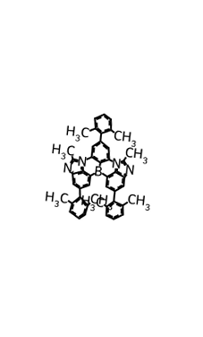 Cc1cccc(C)c1-c1cc2c3c(c1)-n1c(C)nc4cc(-c5c(C)cccc5C)cc(c41)B3c1cc(-c3c(C)cccc3C)cc3nc(C)n-2c13